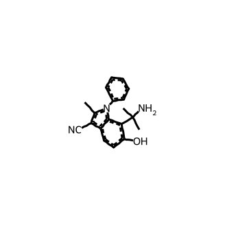 Cc1c(C#N)c2ccc(O)c(C(C)(C)N)c2n1-c1ccccc1